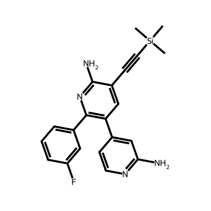 C[Si](C)(C)C#Cc1cc(-c2ccnc(N)c2)c(-c2cccc(F)c2)nc1N